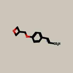 O=C(O)/C=C/c1ccc(OCC2COC2)cc1